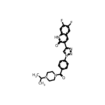 CC(C)N1CCN(C(=O)c2ccc(-n3cc(-c4cc5cc(F)c(F)cc5[nH]c4=O)nn3)cc2)CC1